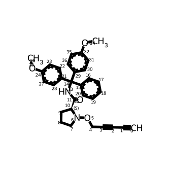 C#CC#CCON1CCC[C@H]1C(=O)NC(c1ccccc1)(c1ccc(OC)cc1)c1ccc(OC)cc1